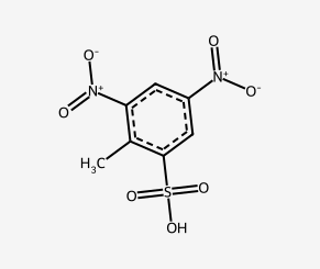 Cc1c([N+](=O)[O-])cc([N+](=O)[O-])cc1S(=O)(=O)O